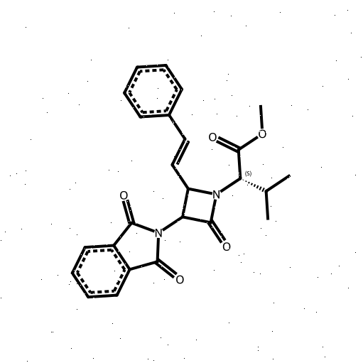 COC(=O)[C@H](C(C)C)N1C(=O)C(N2C(=O)c3ccccc3C2=O)C1C=Cc1ccccc1